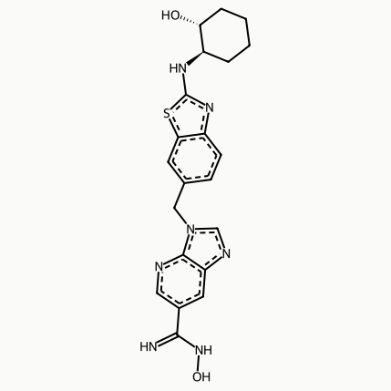 N=C(NO)c1cnc2c(c1)ncn2Cc1ccc2nc(N[C@@H]3CCCC[C@H]3O)sc2c1